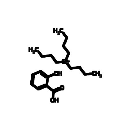 CCC[CH2][Sn]([CH2]CCC)[CH2]CCC.O=C(O)c1ccccc1O